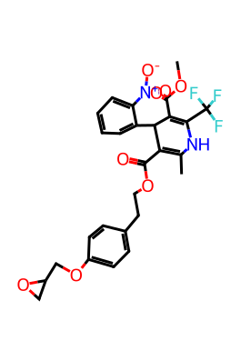 COC(=O)C1=C(C(F)(F)F)NC(C)=C(C(=O)OCCc2ccc(OCC3CO3)cc2)C1c1ccccc1[N+](=O)[O-]